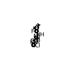 CC(C)N1Cc2cc(Nc3ncc4c(n3)OCN(c3c(F)cccc3Cl)C4=O)cc(F)c2C(C)(C)C1